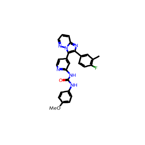 COc1ccc(NC(=O)Nc2cc(-c3c(-c4ccc(F)c(C)c4)nc4cccnn34)ccn2)cc1